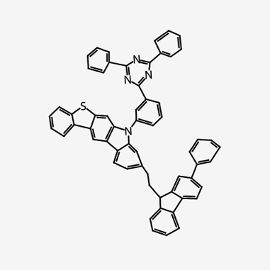 c1ccc(-c2ccc3c(c2)C(CCc2ccc4c5cc6c(cc5n(-c5cccc(-c7nc(-c8ccccc8)nc(-c8ccccc8)n7)c5)c4c2)sc2ccccc26)c2ccccc2-3)cc1